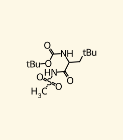 CC(C)(C)CC(NC(=O)OC(C)(C)C)C(=O)NS(C)(=O)=O